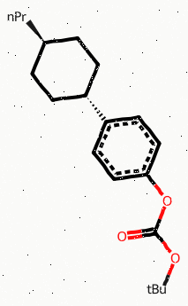 CCC[C@H]1CC[C@H](c2ccc(OC(=O)OC(C)(C)C)cc2)CC1